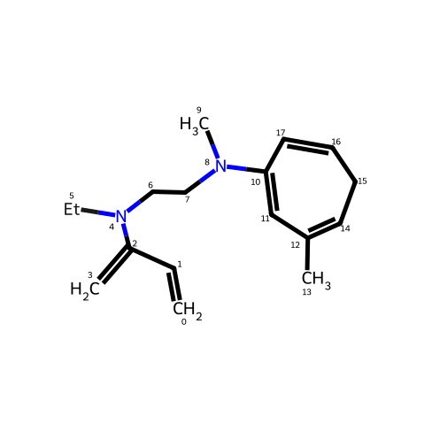 C=CC(=C)N(CC)CCN(C)C1=CC(C)=CCC=C1